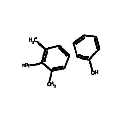 CCCc1c(C)cccc1C.Oc1ccccc1